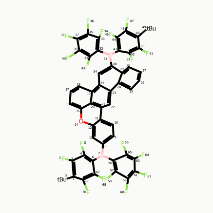 CC(C)(C)c1c(F)c(F)c(B(c2ccc3c(c2)Oc2cccc4c2c-3cc2c3ccccc3c(B(c3c(F)c(F)c(F)c(F)c3F)c3c(F)c(F)c(C(C)(C)C)c(F)c3F)cc42)c2c(F)c(F)c(F)c(F)c2F)c(F)c1F